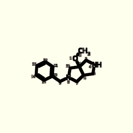 COC12CNCC1CN(Cc1ccccc1)C2